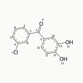 O=C(c1cccc(Cl)c1)c1ccc(O)c(O)c1